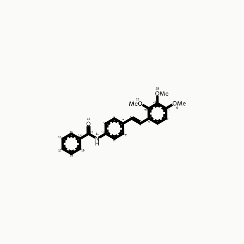 COc1ccc(C=Cc2ccc(NC(=O)c3ccccc3)cc2)c(OC)c1OC